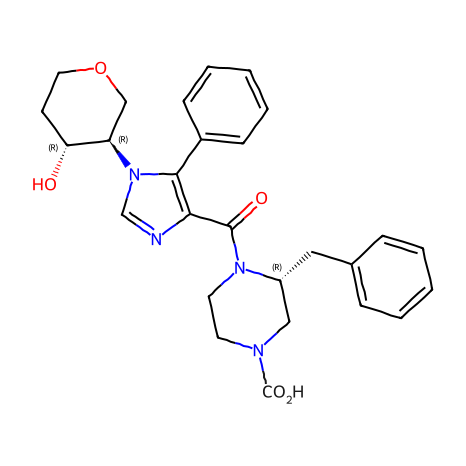 O=C(O)N1CCN(C(=O)c2ncn([C@@H]3COCC[C@H]3O)c2-c2ccccc2)[C@H](Cc2ccccc2)C1